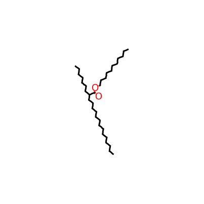 CCCCCCCCCCCCCCC(CCCCCCC)C(=O)OCCCCCCCCCCC